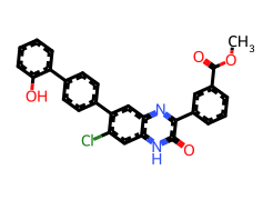 COC(=O)c1cccc(-c2nc3cc(-c4ccc(-c5ccccc5O)cc4)c(Cl)cc3[nH]c2=O)c1